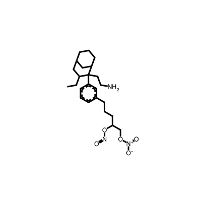 CCC1CC2CCCC(C2)C1(CCN)c1cccc(CCCC(CO[N+](=O)[O-])ON=O)c1